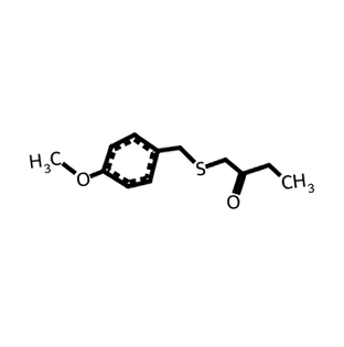 CCC(=O)CSCc1ccc(OC)cc1